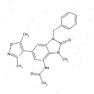 CC(=O)Nc1cc(-c2c(C)noc2C)cc2c1n(C)c(=O)n2Cc1ccccc1